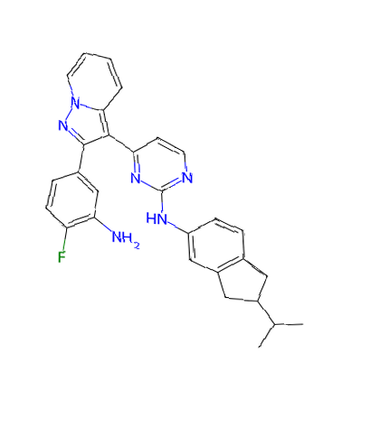 CC(C)C1Cc2ccc(Nc3nccc(-c4c(-c5ccc(F)c(N)c5)nn5ccccc45)n3)cc2C1